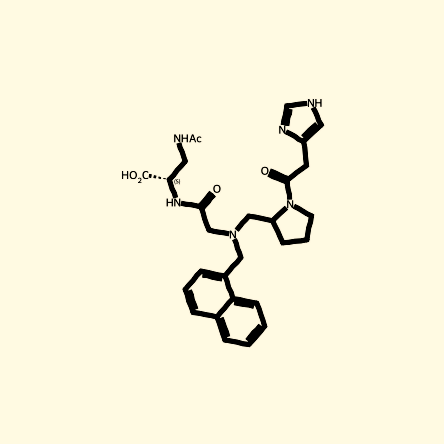 CC(=O)NC[C@H](NC(=O)CN(Cc1cccc2ccccc12)CC1CCCN1C(=O)Cc1c[nH]cn1)C(=O)O